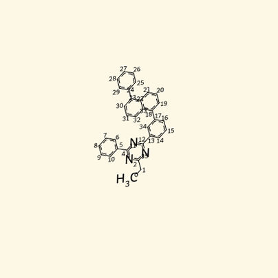 CCc1nc(-c2ccccc2)nc(-c2cccc(-c3cccc4c(-c5ccccc5)cccc34)c2)n1